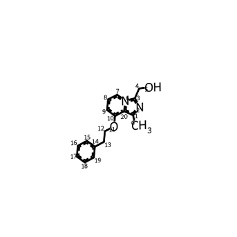 Cc1nc(CO)n2cccc(OCCc3ccccc3)c12